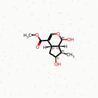 COC(=O)C1=CO[C@@H](O)[C@@H]2[C@@H](C)[C@@H](O)C[C@H]12